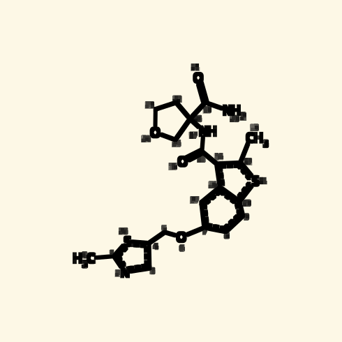 Cc1ncc(COc2ccc3sc(C)c(C(=O)NC4(C(N)=O)CCOC4)c3c2)s1